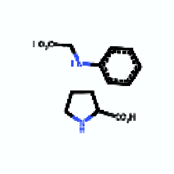 O=C(O)C1CCCN1.O=C(O)CNc1ccccc1